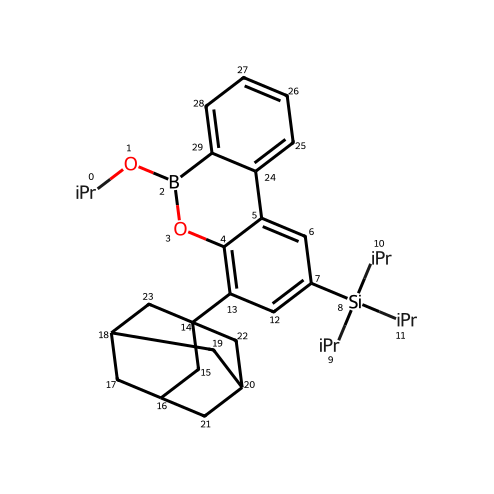 CC(C)OB1Oc2c(cc([Si](C(C)C)(C(C)C)C(C)C)cc2C23CC4CC(CC(C4)C2)C3)-c2ccccc21